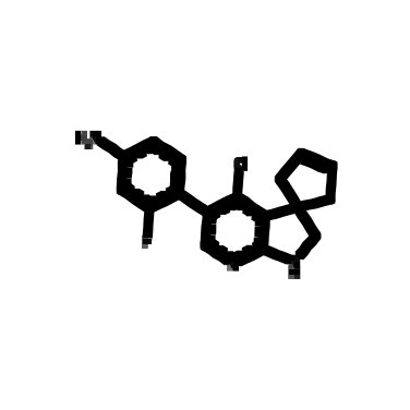 Nc1ccc(-c2cnc3c(c2Cl)C2(CC=CC2)CN3)c(F)c1